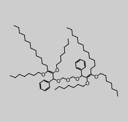 CCCCCCCCCCCCC(OCCCCCCC)=C(OCCCCCCC)C(OCOCOC(C(OCCCCCCC)=C(CCCCCCCCCCCC)OCCCCCCC)c1ccccc1)c1ccccc1